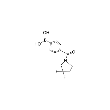 O=C(c1ccc(B(O)O)cc1)N1CCC(F)(F)C1